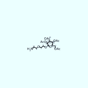 CC(=O)OC[C@H]1O[C@H](OCCOCCN)[C@H](OC(C)=O)[C@@H](OC(C)=O)[C@@H]1OC(C)=O